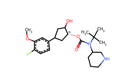 COc1cc(C2CC(O)[C@H](OC(=O)N(C3CCCNC3)C(C)(C)C)C2)ccc1F